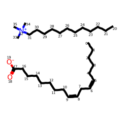 CCCCC/C=C\C/C=C\CCCCCCCC(=O)[O-].CCCCCCCCCCCC[N+](C)(C)C